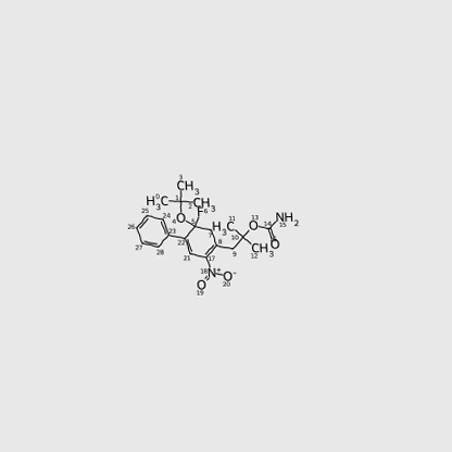 CC(C)(C)OC1(F)CC(CC(C)(C)OC(N)=O)=C([N+](=O)[O-])C=C1c1ccccc1